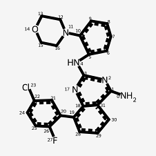 Nc1nc(Nc2ccccc2N2CCOCC2)nc2c(-c3cc(Cl)ccc3F)cccc12